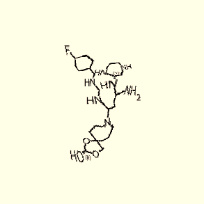 NC(CC(NCNCC1CCC(F)CC1)N1CCC2(CC1)CO[C@@H](O)O2)N[C@H]1CNCCN1